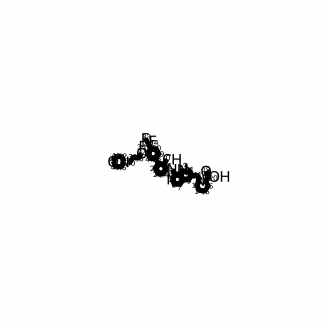 Cc1c(Nc2nccc3cc(CN4CCCCC4C(=O)O)cnc23)cccc1-c1ccc(C(F)(F)F)c(OCCCN2CCOCC2)c1